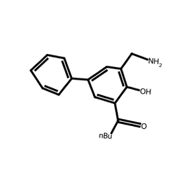 CCCCC(=O)c1cc(-c2ccccc2)cc(CN)c1O